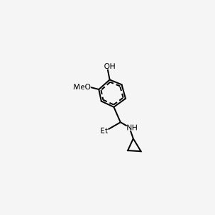 CCC(NC1CC1)c1ccc(O)c(OC)c1